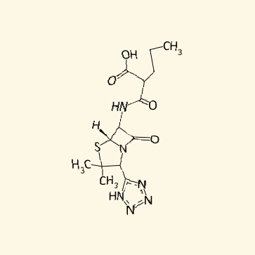 CCCC(C(=O)O)C(=O)NC1C(=O)N2C(c3nnn[nH]3)C(C)(C)S[C@H]12